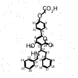 O=C(O)COc1ccc(-c2cc(O)c(C(Cc3ccccc3)NCc3ccccc3)c(=O)o2)cc1